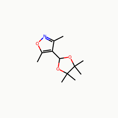 Cc1noc(C)c1C1OC(C)(C)C(C)(C)O1